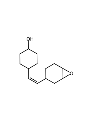 OC1CCC(/C=C\C2CCC3OC3C2)CC1